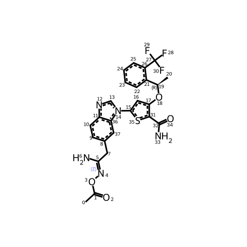 CC(=O)O/N=C(\N)Cc1ccc2ncn(-c3cc(O[C@H](C)c4ccccc4C(F)(F)F)c(C(N)=O)s3)c2c1